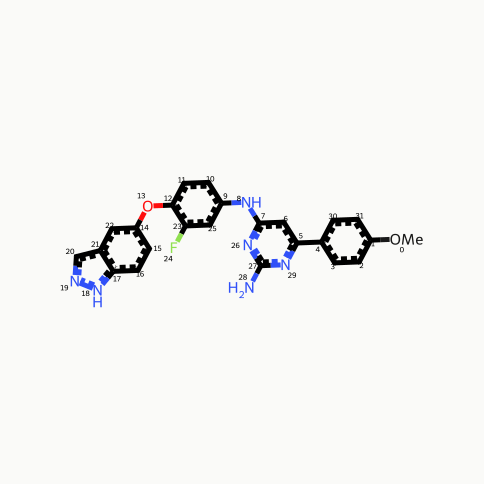 COc1ccc(-c2cc(Nc3ccc(Oc4ccc5[nH]ncc5c4)c(F)c3)nc(N)n2)cc1